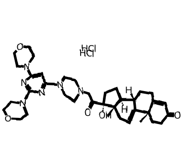 C[C@]12CCC(=O)C=C1CC[C@@H]1C2=CC[C@@]2(C)[C@H]1CC[C@]2(O)C(=O)CN1CCN(c2cc(N3CCOCC3)nc(N3CCOCC3)n2)CC1.Cl.Cl